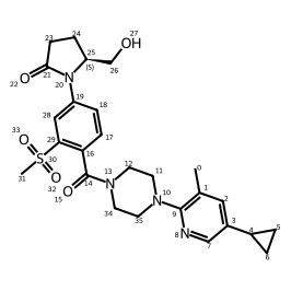 Cc1cc(C2CC2)cnc1N1CCN(C(=O)c2ccc(N3C(=O)CC[C@H]3CO)cc2S(C)(=O)=O)CC1